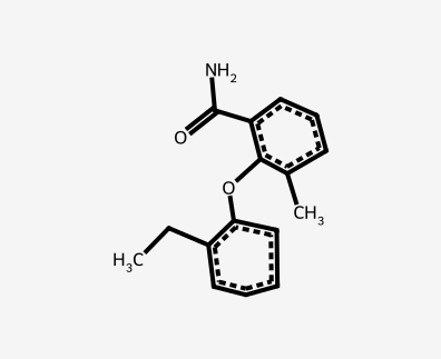 CCc1ccccc1Oc1c(C)cccc1C(N)=O